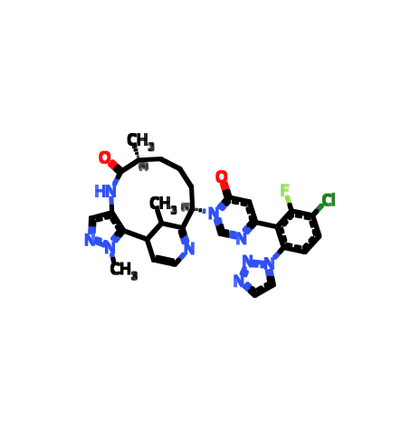 CC1C2=NC=CC1c1c(cnn1C)NC(=O)[C@H](C)CCC[C@@H]2n1cnc(-c2c(-n3ccnn3)ccc(Cl)c2F)cc1=O